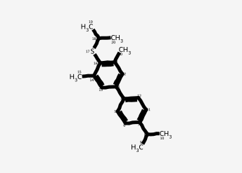 Cc1cc(-c2ccc(C(C)C)cc2)cc(C)c1SC(C)C